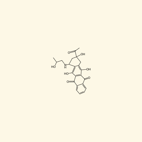 CC(=O)C1(O)Cc2c(O)c3c(c(O)c2C(NCC(C)O)C1)C(=O)c1ccccc1C3=O